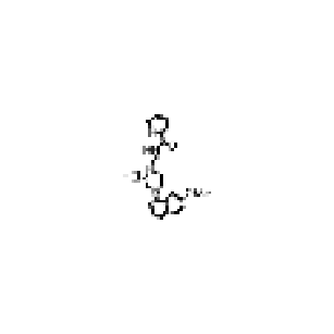 COc1ccc2cccc(N3CCN(CCNC(=O)c4ccccn4)CC3)c2c1.Cl